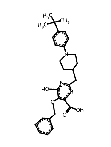 CC(C)(C)c1ccc(N2CCC(Cc3nc(O)c(OCc4ccccc4)c(C(=O)O)n3)CC2)cc1